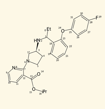 CCC(N[C@H]1CCN(c2ncccc2C(=O)OC(C)C)C1)c1ccccc1Oc1ccc(F)cc1